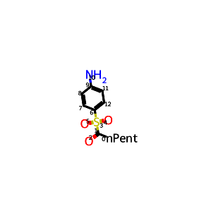 CCCCCC(=O)S(=O)(=O)c1ccc(N)cc1